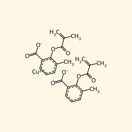 C=C(C)C(=O)Oc1c(C)cccc1C(=O)[O-].C=C(C)C(=O)Oc1c(C)cccc1C(=O)[O-].[Cu+2]